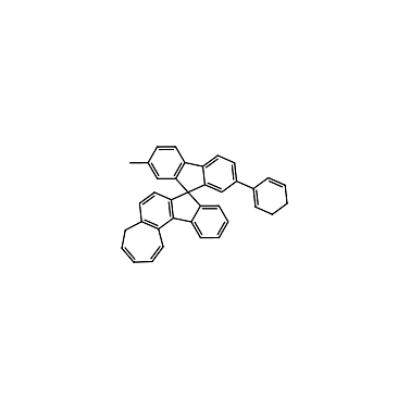 Cc1ccc2c(c1)C1(c3cc(C4=CCCC=C4)ccc3-2)c2ccccc2-c2c1ccc1c2C=CC=CC1